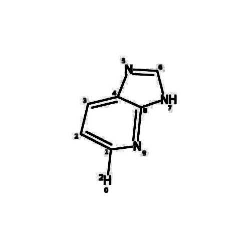 [2H]c1ccc2nc[nH]c2n1